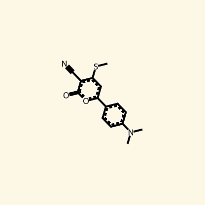 CSc1cc(-c2ccc(N(C)C)cc2)oc(=O)c1C#N